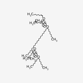 CCCCCC/C=C\COC(=O)CN(CC(=O)OC(CCCCCCCC)CCCCCCCCCCCCCCCC(CCCCCCC)OC(=O)CN(CC(=O)OC(CCCCCCC)CCCCCCC)C(=O)SCCCN(C)C)C(=O)SCCCN(C)C